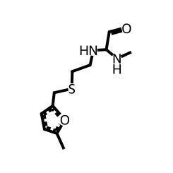 CNC(C=O)NCCSCc1ccc(C)o1